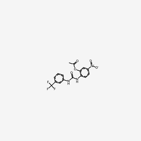 CC(=O)Oc1cc([N+](=O)[O-])ccc1NC(=O)Nc1cccc(C(F)(F)F)c1